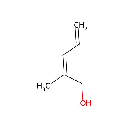 C=CC=C(C)CO